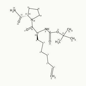 C=CCCCCC[C@H](NC(=O)OC(C)(C)C)C(=O)N1CCC[C@H]1C(N)=O